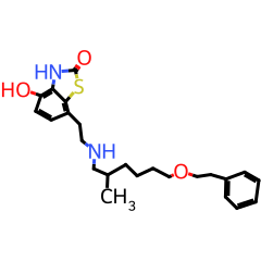 CC(CCCCOCCc1ccccc1)CNCCc1ccc(O)c2[nH]c(=O)sc12